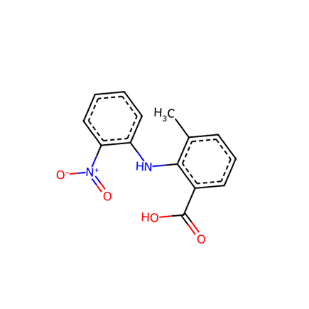 Cc1cccc(C(=O)O)c1Nc1ccccc1[N+](=O)[O-]